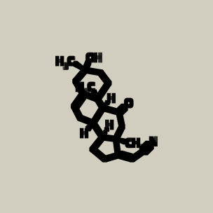 C[C@@]1(O)CC[C@@]2(C)C(=CC[C@@H]3[C@@H]2C(=O)C[C@]2(C)/C(=C\C#N)CC[C@@H]32)C1